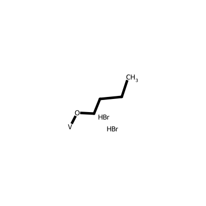 Br.Br.CCCC[O][V]